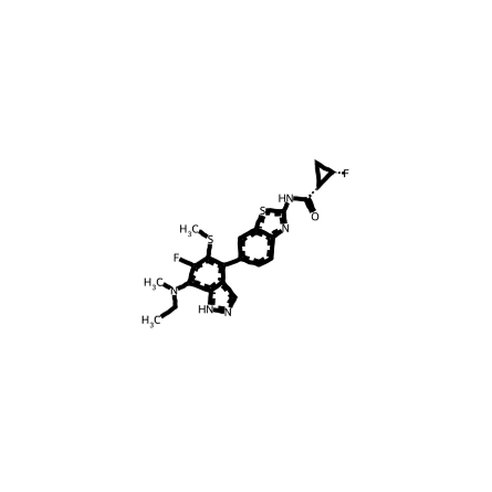 CCN(C)c1c(F)c(SC)c(-c2ccc3nc(NC(=O)[C@@H]4C[C@@H]4F)sc3c2)c2cn[nH]c12